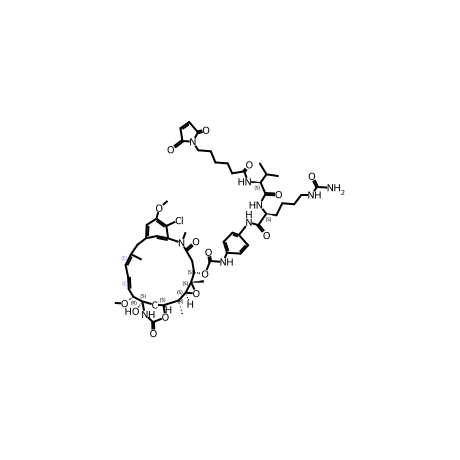 COc1cc2cc(c1Cl)N(C)C(=O)C[C@H](OC(=O)Nc1ccc(NC(=O)[C@H](CCCCNC(N)=O)NC(=O)[C@@H](NC(=O)CCCCCN3C(=O)C=CC3=O)C(C)C)cc1)[C@]1(C)O[C@H]1[C@H](C)[C@@H]1C[C@@](O)(NC(=O)O1)[C@H](OC)/C=C/C=C(\C)C2